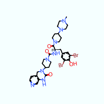 CN1CCN(C2CCN(C(=O)[C@@H](Cc3cc(Br)c(O)c(Br)c3)NC(=O)N3CCC(N4Cc5ccncc5NC4=O)CC3)CC2)CC1